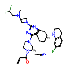 C=CC(=O)N1CCN(c2nc(N3CC(N(C)CC(F)F)C3)nc3c2CC[C@@H](N2CCCc4ccc(F)cc42)C3)C[C@@H]1CC#N